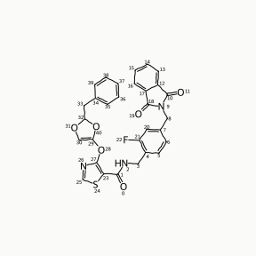 O=C(NCc1ccc(CN2C(=O)c3ccccc3C2=O)cc1F)c1scnc1OC1=COC(Cc2ccccc2)O1